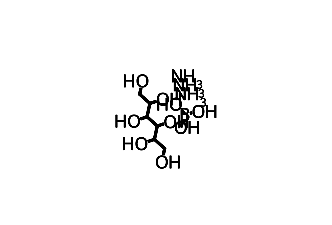 N.N.N.OB(O)O.OCC(O)C(O)C(O)C(O)CO